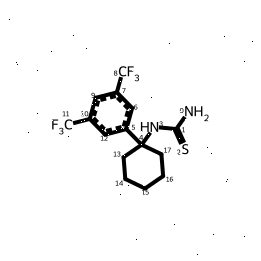 NC(=S)NC1(c2cc(C(F)(F)F)cc(C(F)(F)F)c2)CCCCC1